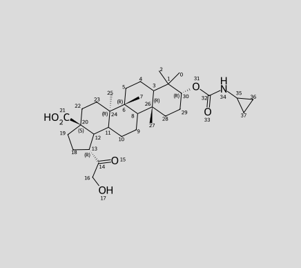 CC1(C)C2CC[C@]3(C)C(CCC4C5[C@H](C(=O)CO)CC[C@]5(C(=O)O)CC[C@]43C)[C@@]2(C)CC[C@H]1OC(=O)NC1CC1